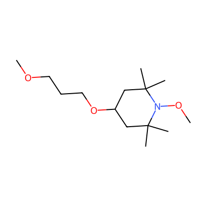 COCCCOC1CC(C)(C)N(OC)C(C)(C)C1